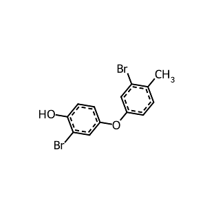 Cc1ccc(Oc2ccc(O)c(Br)c2)cc1Br